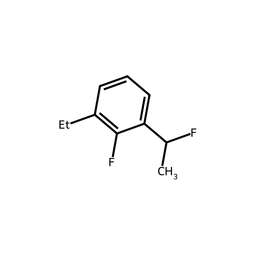 CCc1cccc(C(C)F)c1F